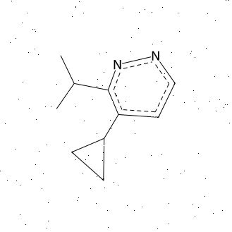 CC(C)c1nnccc1C1CC1